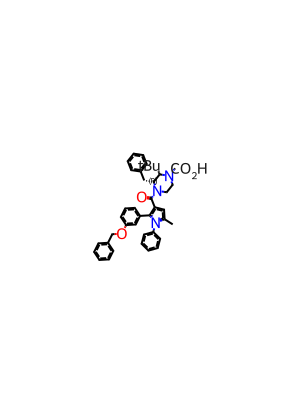 Cc1cc(C(=O)N2CCN(C(=O)O)C(C(C)(C)C)[C@H]2Cc2ccccc2)c(-c2cccc(OCc3ccccc3)c2)n1-c1ccccc1